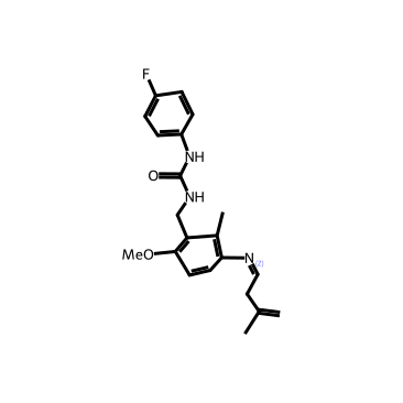 C=C(C)C/C=N\c1ccc(OC)c(CNC(=O)Nc2ccc(F)cc2)c1C